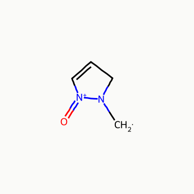 [CH2]N1CC=C[N+]1=O